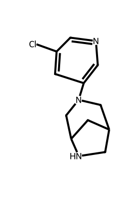 Clc1cncc(N2CC3CNC(C3)C2)c1